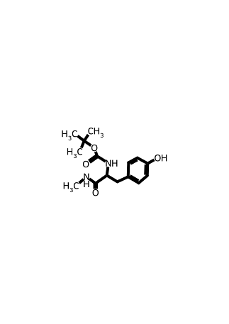 CNC(=O)C(Cc1ccc(O)cc1)NC(=O)OC(C)(C)C